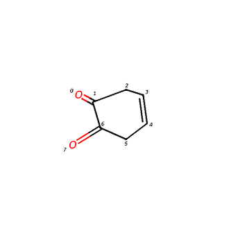 O=C1CC=CCC1=O